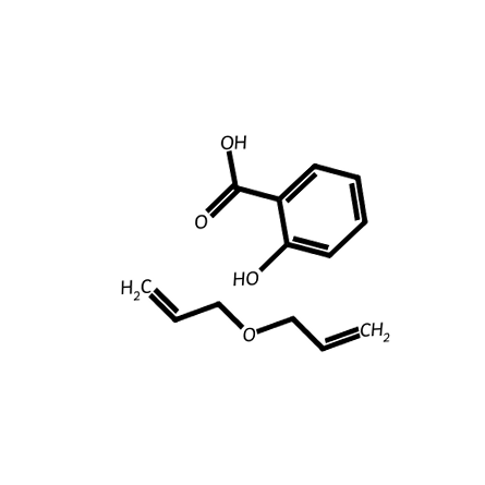 C=CCOCC=C.O=C(O)c1ccccc1O